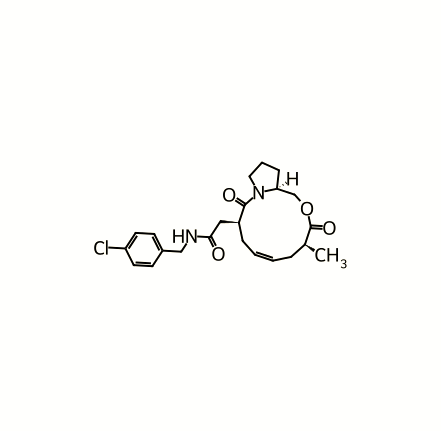 C[C@H]1CC=CC[C@@H](CC(=O)NCc2ccc(Cl)cc2)C(=O)N2CCC[C@H]2COC1=O